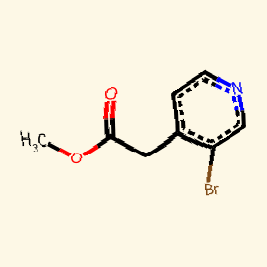 COC(=O)Cc1ccncc1Br